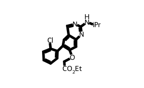 CCOC(=O)COc1cc2nc(NC(C)C)ncc2cc1-c1ccccc1Cl